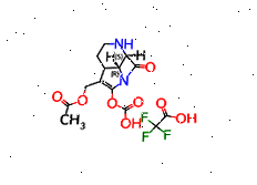 CC(=O)OCC1=C(OC(=O)O)N2C(=O)[C@H]3NCCC1[C@H]32.O=C(O)C(F)(F)F